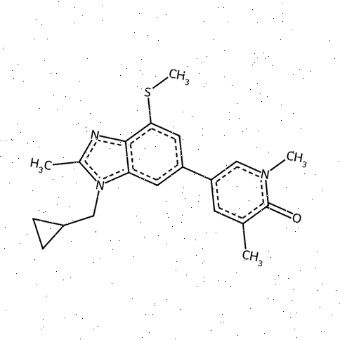 CSc1cc(-c2cc(C)c(=O)n(C)c2)cc2c1nc(C)n2CC1CC1